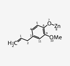 C=CCc1ccc([O][Zn])c(OC)c1